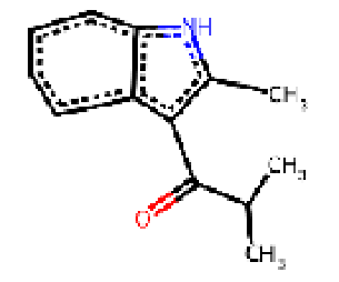 Cc1[nH]c2ccccc2c1C(=O)C(C)C